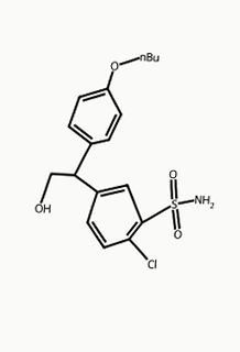 CCCCOc1ccc(C(CO)c2ccc(Cl)c(S(N)(=O)=O)c2)cc1